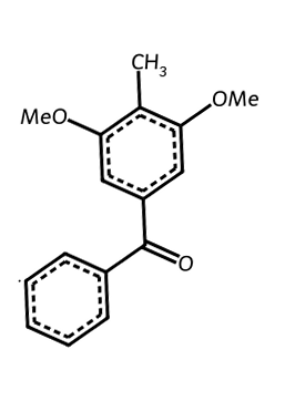 COc1cc(C(=O)c2c[c]ccc2)cc(OC)c1C